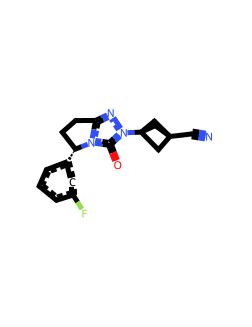 N#CC12CC(n3nc4n(c3=O)[C@H](c3cccc(F)c3)CC4)(C1)C2